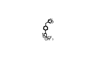 OC1(C(F)(F)F)CC(c2ccc(Cc3cnoc3)cc2)=NO1